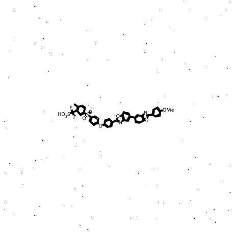 COc1ccc(-c2nc3cc(-c4ccc5oc(-c6ccc(Oc7ccc(S(=O)(=O)c8ccc(C)c(C(F)(F)S(=O)(=O)O)c8)cc7)cc6)nc5c4)ccc3o2)cc1